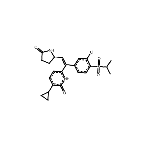 CC(C)S(=O)(=O)c1ccc(C(=C[C@H]2CCC(=O)N2)c2ccc(C3CC3)c(=O)[nH]2)cc1Cl